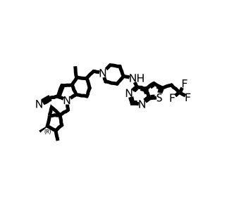 CC1C(CN2CCC(Nc3ncnc4sc(CC(F)(F)F)cc34)CC2)CCC2C1C=C(C#N)N2CC12CC(C)[C@@H](C)C1C2